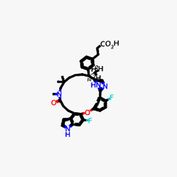 [2H]C([2H])([2H])[C@@]1(c2cccc(CCC(=O)O)c2)CCCC(C)(C)CN(C)C(=O)CCc2c(c(F)cc3[nH]ccc23)Oc2ccc(F)c(c2)-c2ncc1[nH]2